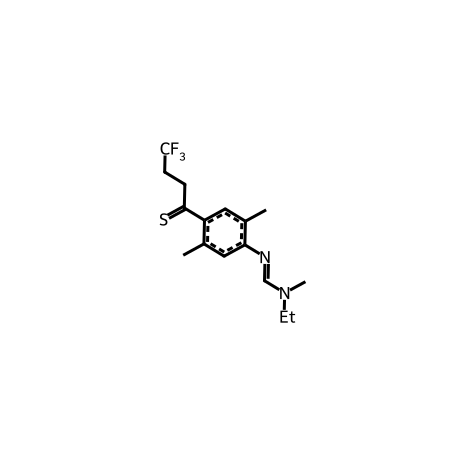 CCN(C)/C=N/c1cc(C)c(C(=S)CCC(F)(F)F)cc1C